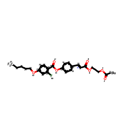 CC(C)(C)C(=O)OCCOC(=O)/C=C/c1ccc(OC(=O)c2ccc(OCCCCC(F)(F)F)cc2F)cc1